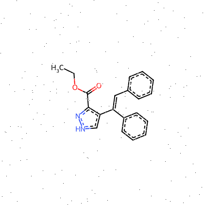 CCOC(=O)c1n[nH]cc1C(=Cc1ccccc1)c1ccccc1